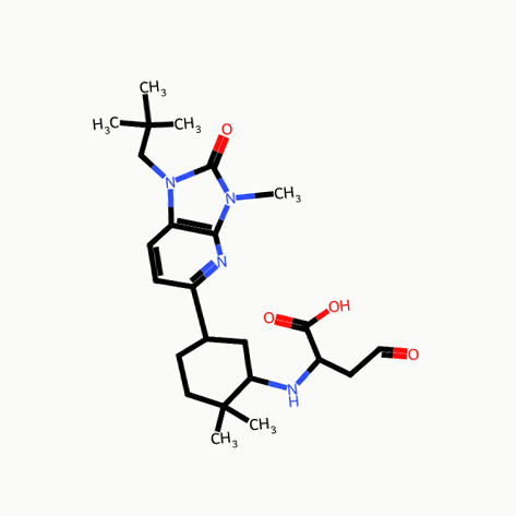 Cn1c(=O)n(CC(C)(C)C)c2ccc(C3CCC(C)(C)C(NC(CC=O)C(=O)O)C3)nc21